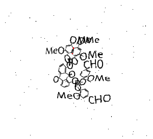 COc1ccc(OP(Oc2ccc(OC)cc2OC)Oc2cccc3c2C(=O)c2c(OP(Oc4ccc(C=O)cc4OC)Oc4ccc(C=O)cc4OC)cccc2C3=O)c(OC)c1